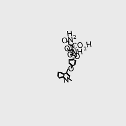 Cc1cc(COc2ccc(S(=O)(=O)N[C@H]3COC(C(N)=O)[C@H]3C(=O)O)cc2)c2ccccc2n1